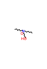 CCCCCCN(CCCCCC)C(=O)CCCO